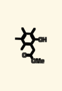 COC(=O)Cc1c(C)c(C)c(C)c(C)c1O